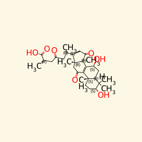 C[C@H](CC(=O)C[C@@H](C)[C@H]1CC(=O)[C@@]2(C)C3=C(C(=O)C[C@]12C)[C@@]1(C)CC[C@H](O)C(C)(C)[C@@H]1C[C@@H]3O)C(=O)O